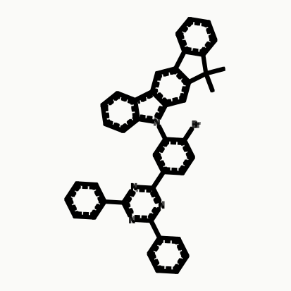 CC1(C)c2ccccc2-c2cc3c4ccccc4n(-c4cc(-c5nc(-c6ccccc6)nc(-c6ccccc6)n5)ccc4Br)c3cc21